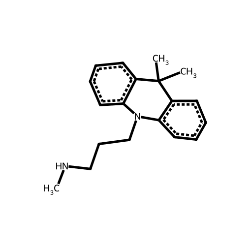 CNCCCN1c2ccccc2C(C)(C)c2ccccc21